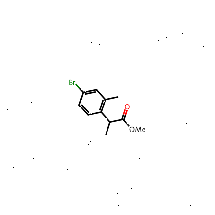 COC(=O)C(C)c1ccc(Br)cc1C